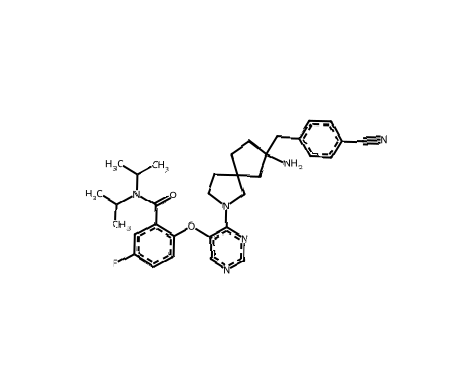 CC(C)N(C(=O)c1cc(F)ccc1Oc1cncnc1N1CCC2(CCC(N)(Cc3ccc(C#N)cc3)C2)C1)C(C)C